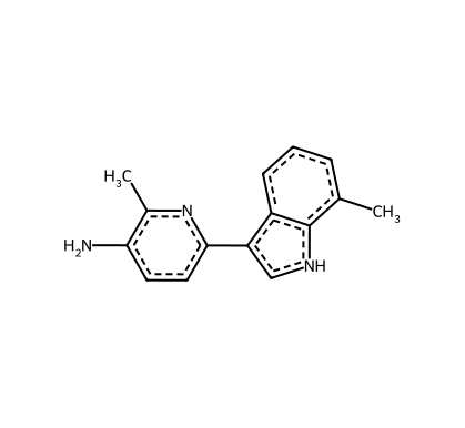 Cc1nc(-c2c[nH]c3c(C)cccc23)ccc1N